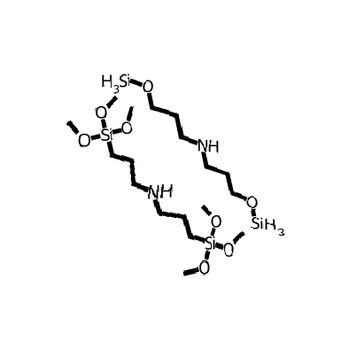 CO[Si](CCCNCCC[Si](OC)(OC)OC)(OC)OC.[SiH3]OCCCNCCCO[SiH3]